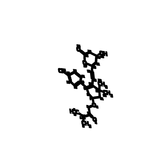 CN(C)C(=O)COC1CC(c2ccc(Cl)cc2)=C(C#C[C@@H]2C[C@@H](O)CC(=O)O2)C(C)(C)C1